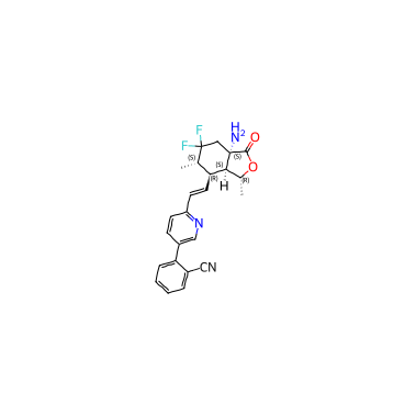 C[C@H]1OC(=O)[C@]2(N)CC(F)(F)[C@@H](C)[C@H](C=Cc3ccc(-c4ccccc4C#N)cn3)[C@H]12